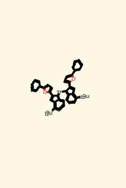 CC(C)(C)c1cccc2c1C=C(c1ccc(-c3ccccc3)o1)[CH]2[Zr][CH]1C(c2ccc(-c3ccccc3)o2)=Cc2c1cccc2C(C)(C)C